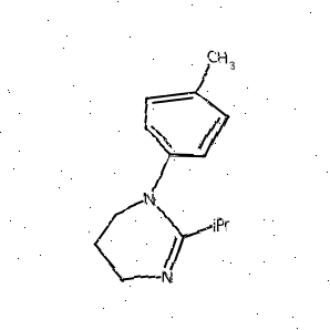 Cc1ccc(N2CCCN=C2C(C)C)cc1